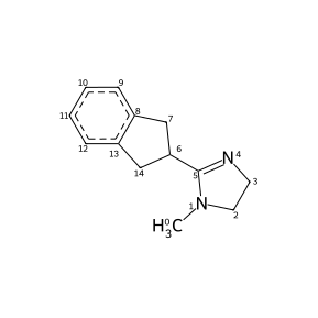 CN1CCN=C1C1Cc2ccccc2C1